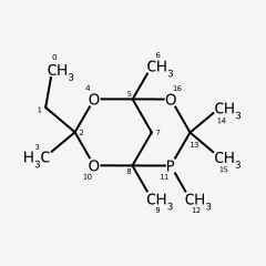 CCC1(C)OC2(C)CC(C)(O1)P(C)C(C)(C)O2